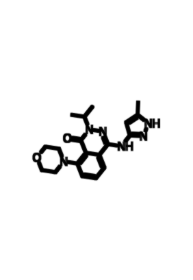 Cc1cc(Nc2nn(C(C)C)c(=O)c3c(N4CCOCC4)cccc23)n[nH]1